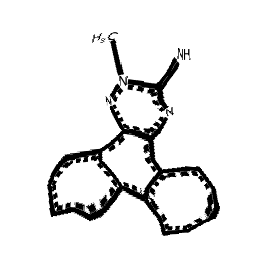 Cn1nc2c3ccccc3c3ccccc3c2nc1=N